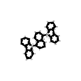 c1cc(-n2c3ccccc3c3ccccc32)c2cccc(-n3c4ccccc4c4ccccc43)c2c1